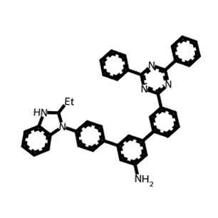 CCC1Nc2ccccc2N1c1ccc(-c2cc(N)cc(-c3cccc(-c4nc(-c5ccccc5)nc(-c5ccccc5)n4)c3)c2)cc1